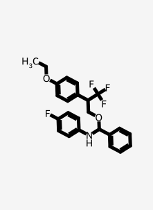 CCOc1ccc(C(COC(Nc2ccc(F)cc2)c2ccccc2)C(F)(F)F)cc1